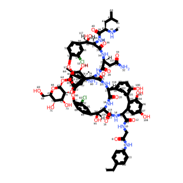 CCc1ccc(NC(=O)CNC(=O)C2NC(=O)[C@H]3NC(=O)[C@H](NC(=O)C4NC(=O)[C@H](CC(N)=O)NC(=O)[C@H](NC(=O)[C@@H](CC(C)C)NC)[C@H](O)c5ccc(c(Cl)c5)Oc5cc4cc(c5O[C@@H]4O[C@H](CO)[C@@H](O)[C@H](O)[C@H]4OC4C[C@](C)(N)[C@H](O)[C@H](C)O4)Oc4ccc(cc4Cl)[C@H]3O)c3ccc(O)c(c3)-c3c(O)cc(O)cc32)cc1